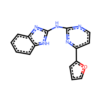 c1coc(-c2ccnc(Nc3nc4ccccc4[nH]3)n2)c1